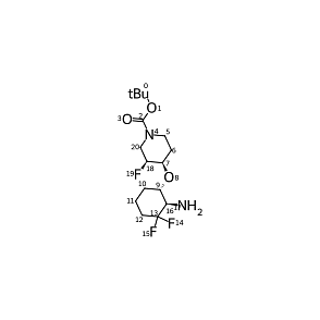 CC(C)(C)OC(=O)N1CC[C@@H](O[C@H]2CCCC(F)(F)[C@@H]2N)[C@@H](F)C1